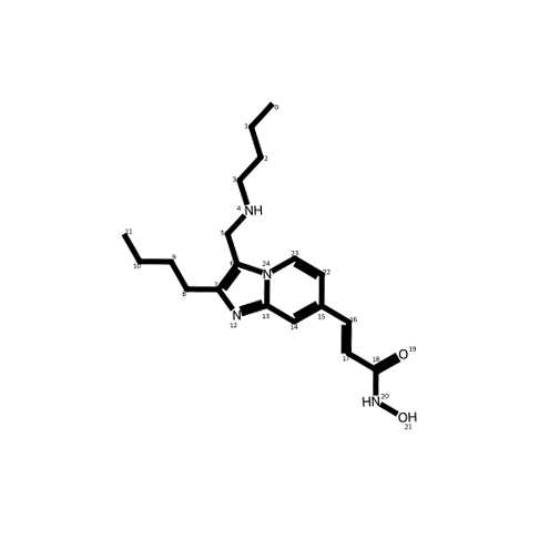 CCCCNCc1c(CCCC)nc2cc(C=CC(=O)NO)ccn12